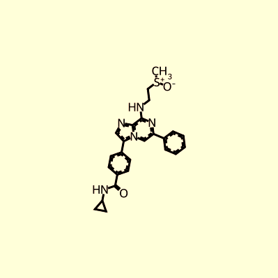 C[S+]([O-])CCNc1nc(-c2ccccc2)cn2c(-c3ccc(C(=O)NC4CC4)cc3)cnc12